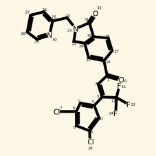 O=C(C=C(c1cc(Cl)cc(Cl)c1)C(F)(F)F)c1ccc2c(c1)CN(Cc1ccccn1)C2=O